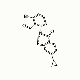 O=Cc1c(Br)cccc1-n1ccc2cc(C3CC3)ccc2c1=O